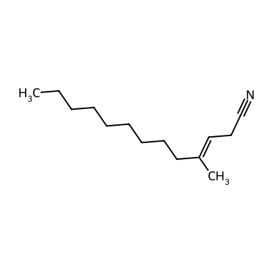 CCCCCCCCCC(C)=CCC#N